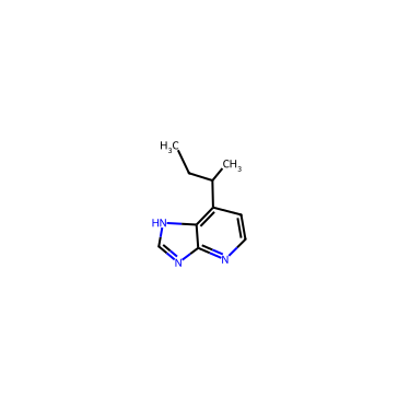 CCC(C)c1ccnc2nc[nH]c12